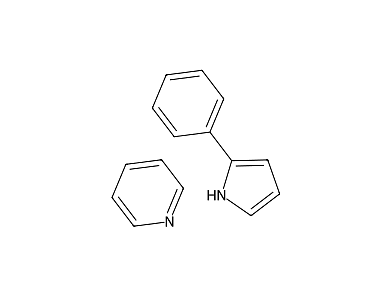 c1ccc(-c2ccc[nH]2)cc1.c1ccncc1